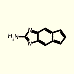 NC1=Nc2cc3c(cc2=N1)C=CC=3